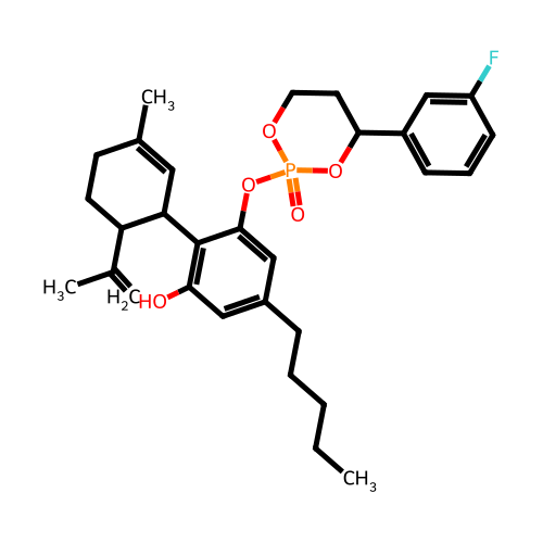 C=C(C)C1CCC(C)=CC1c1c(O)cc(CCCCC)cc1OP1(=O)OCCC(c2cccc(F)c2)O1